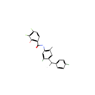 Cc1cc(C(C#N)c2ccc(Cl)cc2)c(Cl)cc1NC(=O)c1ccc(F)c(F)c1O